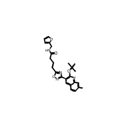 Cc1ccc2cc(-c3noc(CCCC(=O)NCc4ccco4)n3)c(OC(C)(C)C)nc2c1